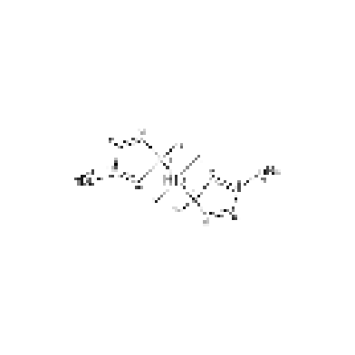 CCCCC1=C[C](C)([Hf]([CH3])([CH3])[C]2(C)C=CC(CCCC)=C2)C=C1